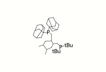 CC1CC(CP(C(C)(C)C)C(C)(C)C)C(CP(C23CC4CC(CC(C4)C2)C3)C23CC4CC(CC(C4)C2)C3)CC1C